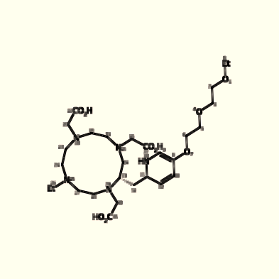 CCOCCOCCOC1=CNC(C[C@H]2CN(CC(=O)O)CCN(CC(=O)O)CCN(CC)CCN2CC(=O)O)C=C1